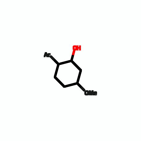 COC1CCC(C(C)=O)C(O)C1